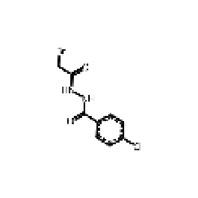 O=C(CBr)NNC(=O)c1ccc(Cl)cc1